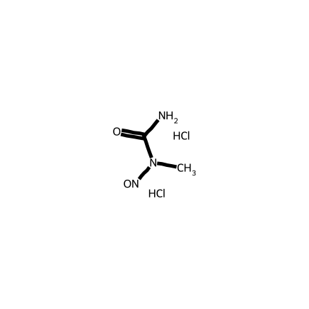 CN(N=O)C(N)=O.Cl.Cl